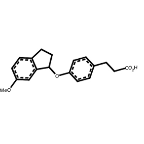 COc1ccc2c(c1)C(Oc1ccc(CCC(=O)O)cc1)CC2